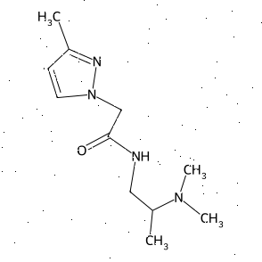 Cc1[c]cn(CC(=O)NCC(C)N(C)C)n1